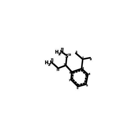 CC(C)c1ccccc1C(CN)SN